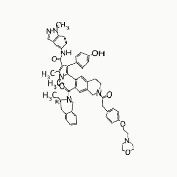 Cc1c(C(=O)Nc2ccc3c(cnn3C)c2)c(-c2ccc(O)cc2)c(-c2cc3c(cc2C(=O)N2Cc4ccccc4C[C@H]2C)CN(C(=O)Cc2ccc(OCCN4CCOCC4)cc2)CC3)n1C